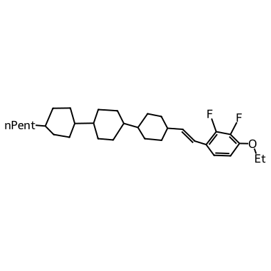 CCCCCC1CCC(C2CCC(C3CCC(/C=C/c4ccc(OCC)c(F)c4F)CC3)CC2)CC1